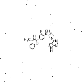 C[C@H](NC(=O)c1ccc(N(C)[C@@H]2CCN(c3ncnc4[nH]ccc34)C2)c(F)c1)c1ccccc1